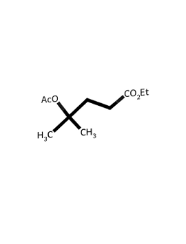 CCOC(=O)CCC(C)(C)OC(C)=O